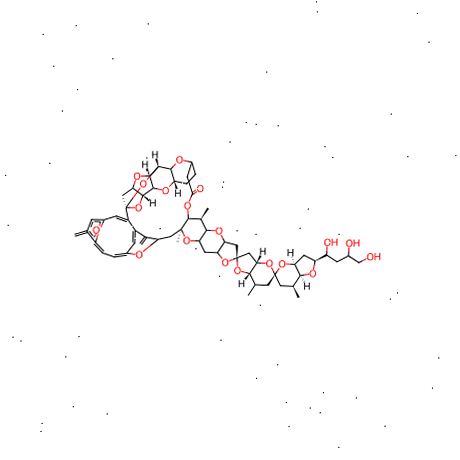 C=C1C2=CC3=C\C=c4/oc(cc4=C)/C=C\2[C@@]24CC5O[C@H]6C(O[C@H]7CCC(CC(=O)OC8[C@@H](C)C9OC%10C[C@]%11(C[C@@H]%12O[C@@]%13(CC(C)[C@@H]%12O%11)C[C@H](C)[C@@H]%11O[C@H](C(O)CC(O)CO)C[C@@H]%11O%13)OC%10CC9O[C@@]8(C)CC1O\3)OC7[C@@H]6O2)[C@@H]5O4